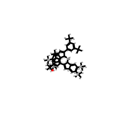 CC(C)(C)c1cc(C2=Cc3cc([Si](C)(C)C)c([Si](C)(C)C)cc3[CH]2[Hf][CH]2C(c3cc(C(C)(C)C)cc(C(C)(C)C)c3)=Cc3cc([Si](C)(C)C)c([Si](C)(C)C)cc32)cc(C(C)(C)C)c1